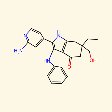 CCC1(CO)CC(=O)c2c([nH]c(-c3ccnc(N)c3)c2Nc2ccccc2)C1